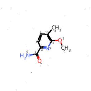 COc1nc(C(N)=O)ccc1C